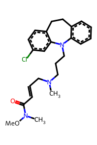 CON(C)C(=O)/C=C/CN(C)CCCN1c2ccccc2CCc2ccc(Cl)cc21